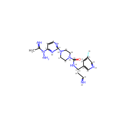 CC(=N)N(N)c1ccnc(N2CCN(C(=O)N[C@@H](CC=N)c3cncc(F)c3)CC2)n1